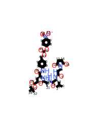 CC(C)C[C@@H](NC(=O)CCN1C(=O)C=CC1=O)C(=O)N[C@@H](C)C(=O)N[C@@H](CCC(=O)OC(C)(C)C)C(=O)Nc1ccc(COC(=O)Oc2ccc([N+](=O)[O-])cc2)cc1